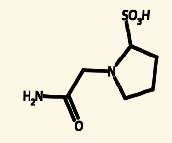 NC(=O)CN1CCCC1S(=O)(=O)O